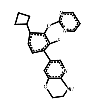 Fc1c(-c2cnc3c(c2)OCCN3)ccc(C2CCC2)c1Oc1ncccn1